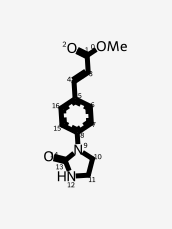 COC(=O)/C=C/c1ccc(N2CCNC2=O)cc1